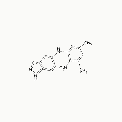 Cc1cc(N)c([N+](=O)[O-])c(Nc2ccc3[nH]ncc3c2)n1